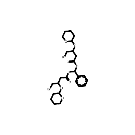 O=C(CC(CBr)OC1CCCCO1)OC(OC(=O)CC(CBr)OC1CCCCO1)c1ccccc1